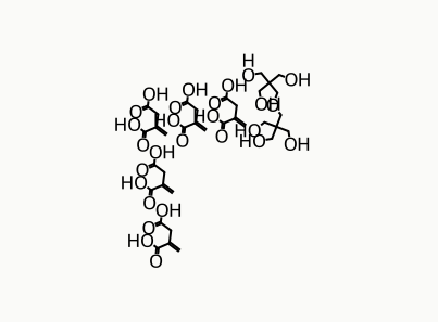 C=C(CC(=O)O)C(=O)O.C=C(CC(=O)O)C(=O)O.C=C(CC(=O)O)C(=O)O.C=C(CC(=O)O)C(=O)O.C=C(CC(=O)O)C(=O)O.OCC(CO)(CO)COCC(CO)(CO)CO